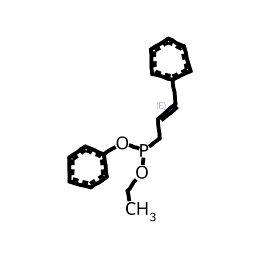 CCOP(C/C=C/c1ccccc1)Oc1ccccc1